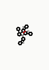 c1ccc(-c2cccc(N(c3ccc4oc5ccccc5c4c3)c3ccc4sc5ccccc5c4c3)c2-c2ccc3c(c2)sc2ccccc23)cc1